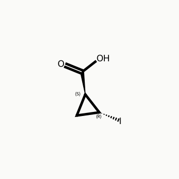 O=C(O)[C@@H]1C[C@H]1I